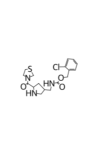 O=C(NCC1CNC(C(=O)N2CCSC2)C1)OCc1ccccc1Cl